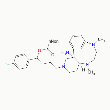 CCCCCCCCCC(=O)OC(CCCN1CC[C@@H]2N(C)CCN(C)c3cccc(c3)[C@]2(N)C1)c1ccc(F)cc1